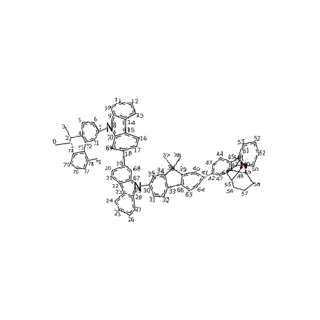 CCC(C)c1ccc(-n2c3ccccc3c3ccc(-c4ccc5c6ccccc6n(-c6ccc7c(c6)C(C)(C)c6cc(-c8ccc9c(c8)C8(c%10ccccc%10-9)C9CCCC8N8CC8C9)ccc6-7)c5c4)cc32)cc1-c1ccccc1C